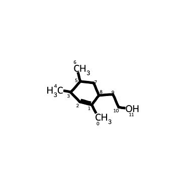 CC1=CC(C)C(C)CC1CCO